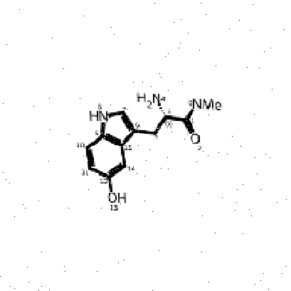 CNC(=O)[C@@H](N)Cc1c[nH]c2ccc(O)cc12